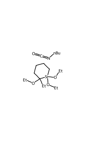 CCCCN=C=O.CCOC1(CC)CCCC[Si]1(OCC)OCC